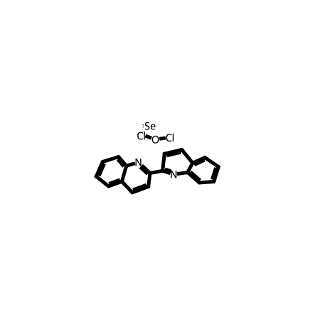 ClOCl.[Se].c1ccc2nc(-c3ccc4ccccc4n3)ccc2c1